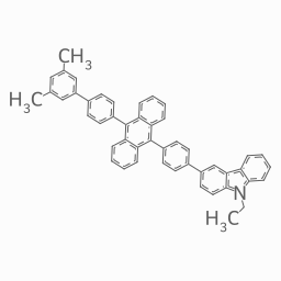 CCn1c2ccccc2c2cc(-c3ccc(-c4c5ccccc5c(-c5ccc(-c6cc(C)cc(C)c6)cc5)c5ccccc45)cc3)ccc21